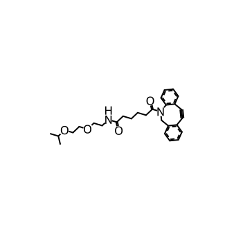 CC(C)OCCOCCNC(=O)CCCCC(=O)N1Cc2ccccc2C#Cc2ccccc21